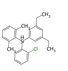 CCc1cc(CC)cc([SiH](c2ccccc2Cl)c2c(C)cccc2C)c1